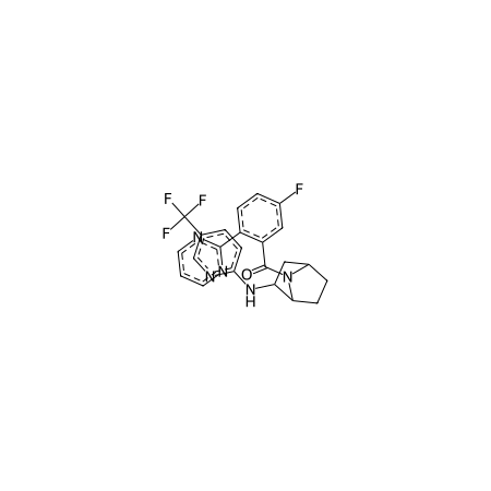 O=C(c1cc(F)ccc1-c1ncccn1)N1C2CCC1C(Nc1ccc(C(F)(F)F)cn1)C2